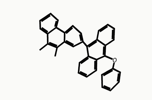 Cc1c(C)c2cc(-c3c4ccccc4c(Oc4ccccc4)c4ccccc34)ccc2c2ccccc12